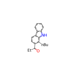 CCCCc1c(C(=O)CC)ccc2c1[nH]c1ccccc12